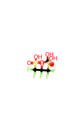 O=S(=O)(O)C(F)(F)C(F)(OCO)C(F)(F)S(=O)(=O)O